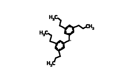 CCCc1cc([CH]c2cc(CCC)cc(CCC)c2)cc(CCC)c1